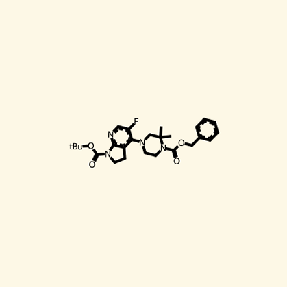 CC(C)(C)OC(=O)N1CCc2c1ncc(F)c2N1CCN(C(=O)OCc2ccccc2)C(C)(C)C1